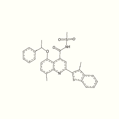 Cc1c(-c2cc(C(=O)NS(C)(=O)=O)c3c(OC(C)c4ccccc4)ccc(C)c3n2)sc2ccccc12